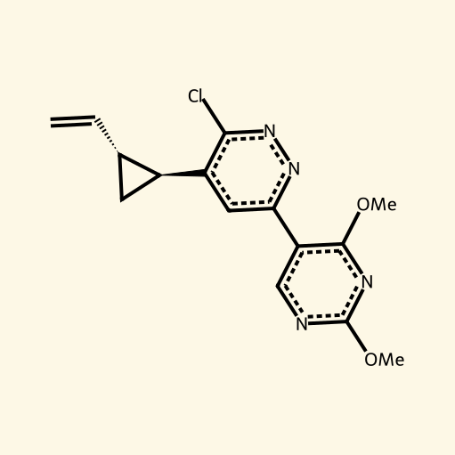 C=C[C@H]1C[C@@H]1c1cc(-c2cnc(OC)nc2OC)nnc1Cl